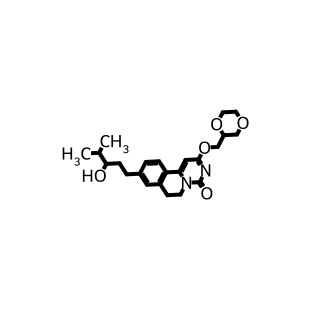 CC(C)C(O)CCc1ccc2c(c1)CCn1c-2cc(OCC2COCCO2)nc1=O